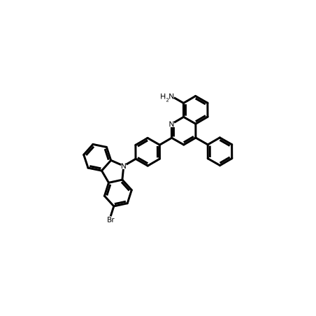 Nc1cccc2c(-c3ccccc3)cc(-c3ccc(-n4c5ccccc5c5cc(Br)ccc54)cc3)nc12